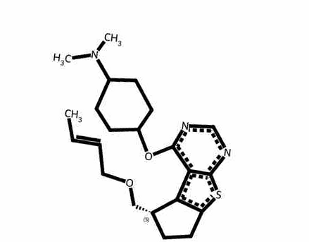 CC=CCOC[C@H]1CCc2sc3ncnc(OC4CCC(N(C)C)CC4)c3c21